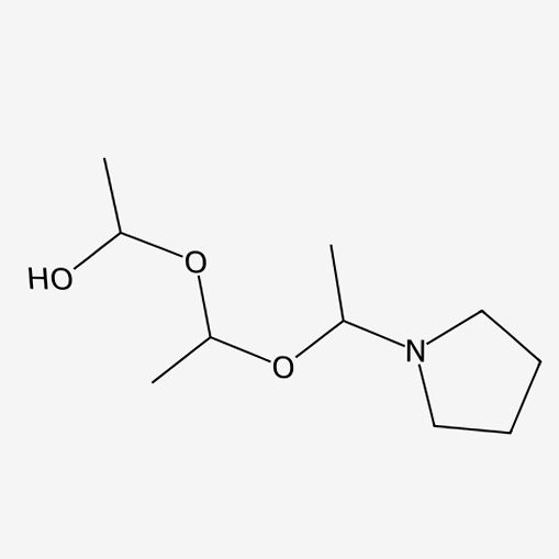 CC(O)OC(C)OC(C)N1CCCC1